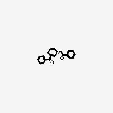 O=C(CN1C=CCC(C(=O)c2ccccc2)=C1)c1ccccc1